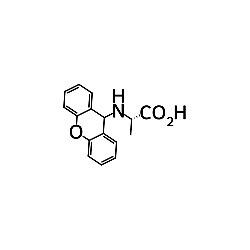 C[C@H](NC1c2ccccc2Oc2ccccc21)C(=O)O